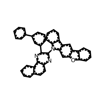 c1ccc(-c2cccc(-c3nc4c(ccc5ccccc54)nc3-n3c4ccccc4c4cc5c(cc43)oc3ccccc35)c2)cc1